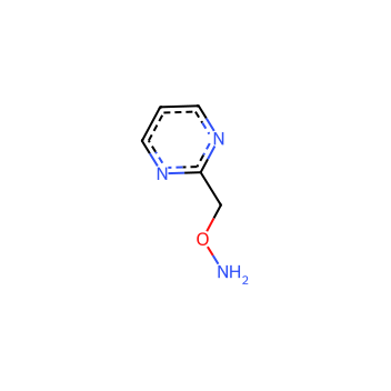 NOCc1ncccn1